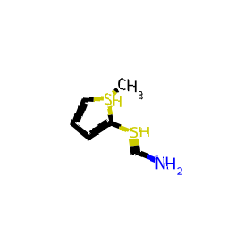 C[SH]1C=CC=C1[SH]=CN